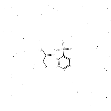 CCC(N)=O.O=S(=O)(O)c1cccnc1